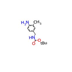 Cc1cc(CNC(=O)OC(C)(C)C)ccc1N